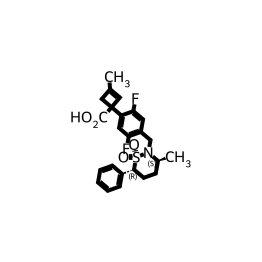 CC1=CC(C(=O)O)(c2cc(F)c(CN3[C@@H](C)CC[C@H](c4ccccc4)S3(=O)=O)cc2F)C1